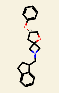 c1ccc(O[C@@H]2COC3(C2)CN(CC2CCc4ccccc42)C3)cc1